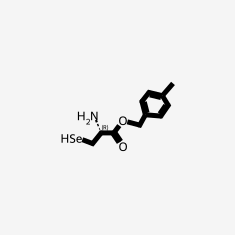 Cc1ccc(COC(=O)[C@@H](N)C[SeH])cc1